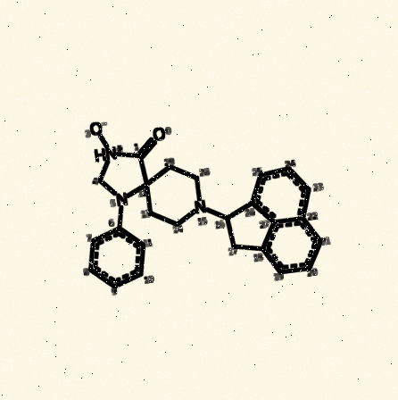 O=C1[NH+]([O-])CN(c2ccccc2)C12CCN(C1Cc3cccc4cccc1c34)CC2